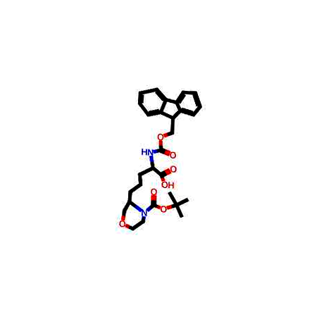 CC(C)(C)OC(=O)N1CCOCC1CCCC(NC(=O)OCC1c2ccccc2-c2ccccc21)C(=O)O